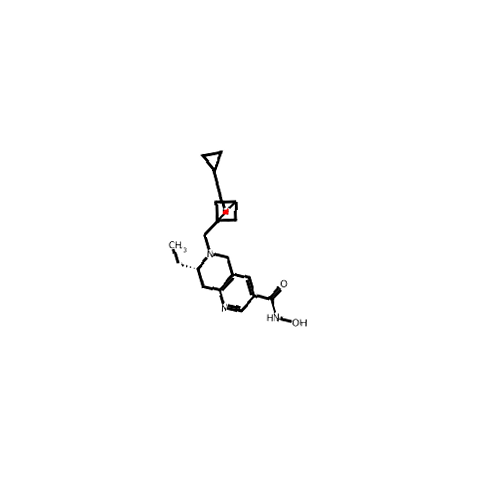 CC[C@H]1Cc2ncc(C(=O)NO)cc2CN1CC12CC(C1)N(C1CC1)C2